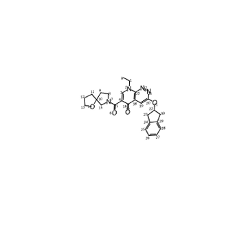 CCn1cc(C(=O)N2CCC3(CCCO3)C2)c(=O)c2cc(OC3Cc4ccccc4C3)nnc21